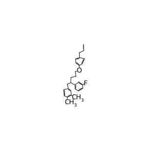 Cc1ccc(CC(CCCOc2ccc(CCI)cc2)c2cccc(F)c2)cc1C